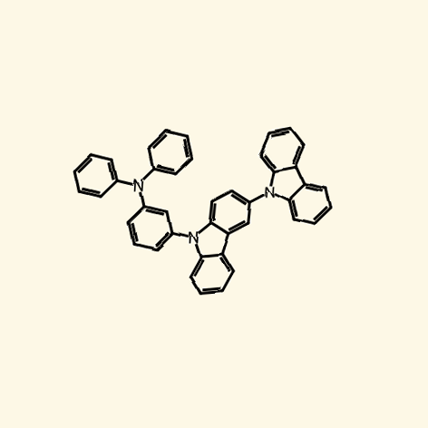 c1ccc(N(c2ccccc2)c2cccc(-n3c4ccccc4c4cc(-n5c6ccccc6c6ccccc65)ccc43)c2)cc1